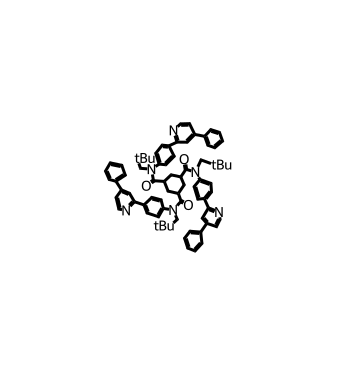 CC(C)(C)CN(C(=O)C1CC(C(=O)N(CC(C)(C)C)c2ccc(-c3cc(-c4ccccc4)ccn3)cc2)CC(C(=O)N(CC(C)(C)C)c2ccc(-c3cc(-c4ccccc4)ccn3)cc2)C1)c1ccc(-c2cc(-c3ccccc3)ccn2)cc1